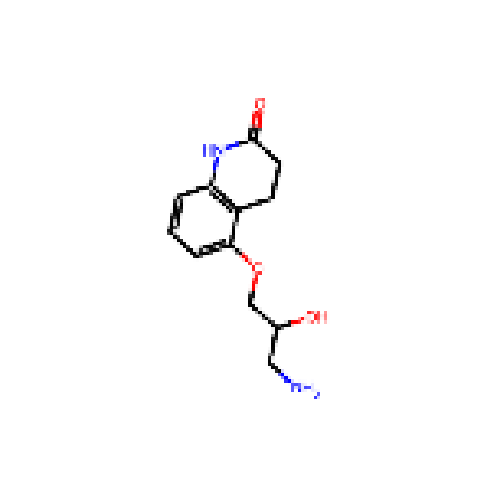 NCC(O)COc1cccc2c1CCC(=O)N2